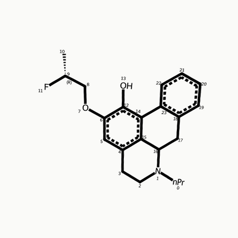 CCCN1CCc2cc(OC[C@@H](C)F)c(O)c3c2C1Cc1ccccc1-3